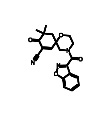 CC1(C)CC2(C=C(C#N)C1=O)CN(C(=O)c1noc3ccccc13)CCO2